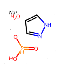 O.O=[PH]([O-])O.[Na+].c1cn[nH]c1